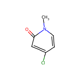 Cn1ccc(Cl)cc1=O